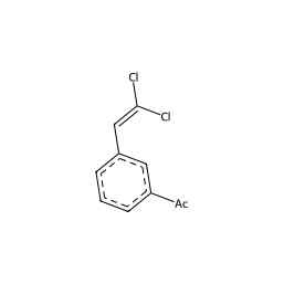 CC(=O)c1cccc(C=C(Cl)Cl)c1